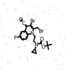 CC(C)(C)OC(=O)N(CCN1C(CBr)=C(Br)C(=C=O)c2cc(F)ccc21)C1CC1